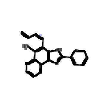 C=C/C=C\c1c(N)c2ncccc2c2nc(-c3ccccc3)[nH]c12